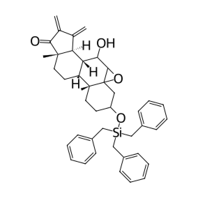 C=C1C(=C)[C@H]2[C@@H]3C(O)C4OC45CC(O[Si](Cc4ccccc4)(Cc4ccccc4)Cc4ccccc4)CC[C@]5(C)[C@@H]3CC[C@]2(C)C1=O